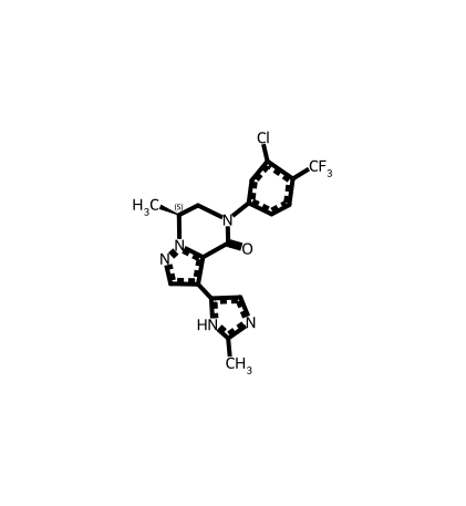 Cc1ncc(-c2cnn3c2C(=O)N(c2ccc(C(F)(F)F)c(Cl)c2)C[C@@H]3C)[nH]1